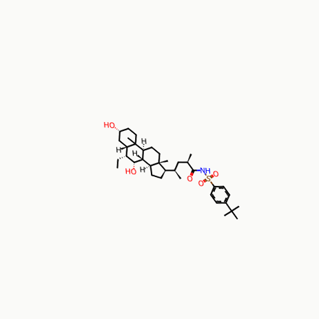 CC[C@H]1[C@@H](O)[C@@H]2[C@H](CC[C@]3(C)[C@@H]([C@H](C)C[C@@H](C)C(=O)NS(=O)(=O)c4ccc(C(C)(C)C)cc4)CC[C@@H]23)C2(C)CC[C@@H](O)C[C@@H]12